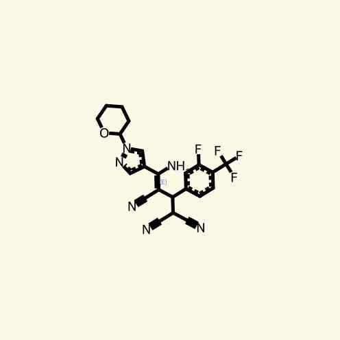 N#C/C(=C(/N)c1cnn(C2CCCCO2)c1)C(c1ccc(C(F)(F)F)c(F)c1)C(C#N)C#N